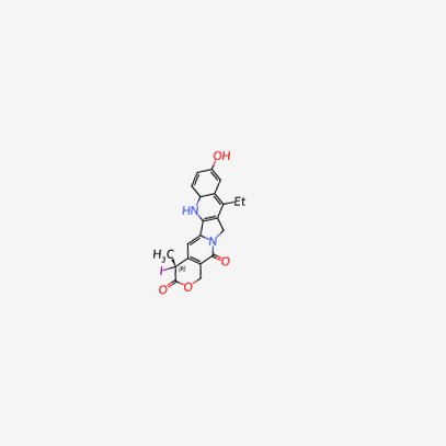 CCC1=C2C=C(O)C=CC2NC2=C1Cn1c2cc2c(c1=O)COC(=O)[C@]2(C)I